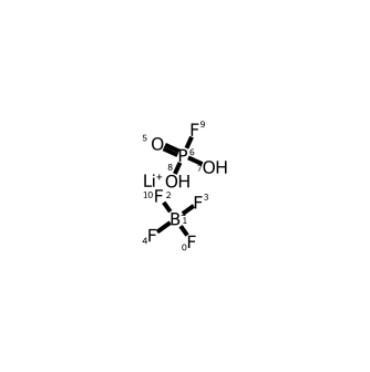 F[B-](F)(F)F.O=P(O)(O)F.[Li+]